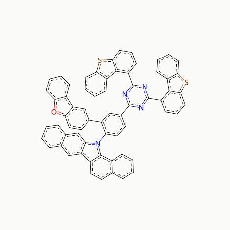 c1ccc2cc3c(cc2c1)c1ccc2ccccc2c1n3-c1ccc(-c2nc(-c3cccc4sc5ccccc5c34)nc(-c3cccc4sc5ccccc5c34)n2)cc1-c1ccc2oc3ccccc3c2c1